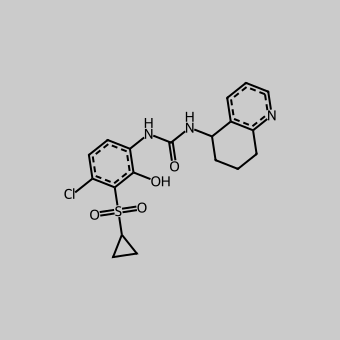 O=C(Nc1ccc(Cl)c(S(=O)(=O)C2CC2)c1O)NC1CCCc2ncccc21